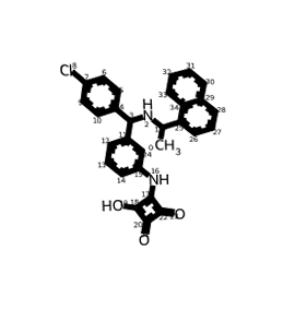 CC(NC(c1ccc(Cl)cc1)c1cccc(Nc2c(O)c(=O)c2=O)c1)c1cccc2ccccc12